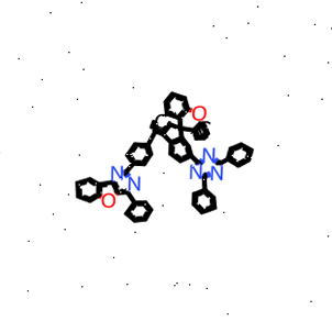 c1ccc(-c2nc(-c3ccccc3)nc(-c3ccc4c(c3)C3(c5ccccc5Oc5ccccc53)c3cccc(-c5ccc(-c6nc(-c7ccccc7)c7oc8ccccc8c7n6)cc5)c3-4)n2)cc1